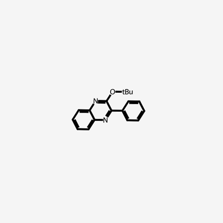 CC(C)(C)Oc1nc2ccccc2nc1-c1ccccc1